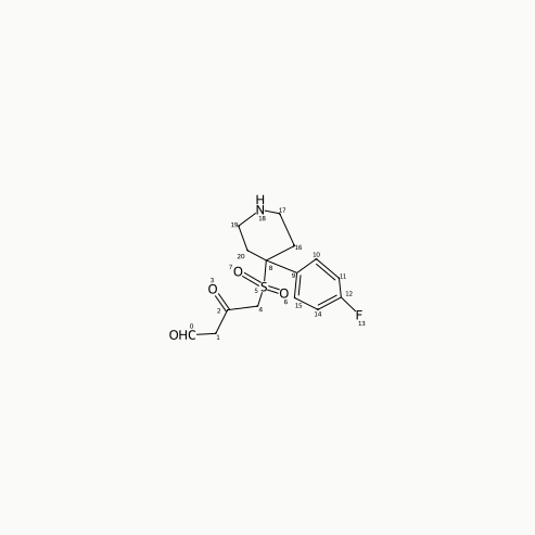 O=CCC(=O)CS(=O)(=O)C1(c2ccc(F)cc2)CCNCC1